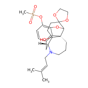 CC(C)=CCN1CCC[C@]23c4c5ccc(OS(C)(=O)=O)c4OC2C2(CCC3(O)[C@H]1C5)OCCO2